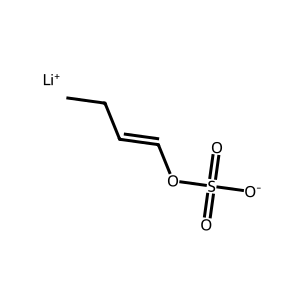 CCC=COS(=O)(=O)[O-].[Li+]